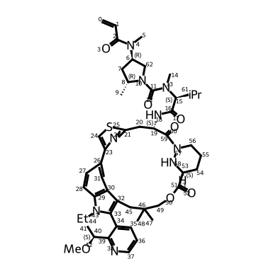 C=CC(=O)N(C)[C@@H]1C[C@@H](C)N(C(=O)N(C)[C@H](C(=O)N[C@H]2Cc3nc(cs3)-c3ccc4c(c3)c(c(-c3cccnc3[C@H](C)OC)n4CC)CC(C)(C)COC(=O)[C@@H]3CCCN(N3)C2=O)C(C)C)C1